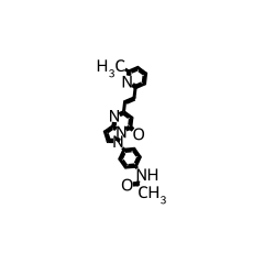 CC(=O)Nc1ccc(-n2ccc3nc(/C=C/c4cccc(C)n4)cc(=O)n32)cc1